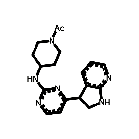 CC(=O)N1CCC(Nc2nccc(C3CNc4ncccc43)n2)CC1